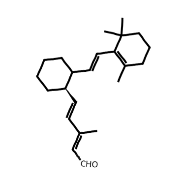 CC1=C(/C=C/C2CCCC[C@@H]2/C=C/C(C)=C/C=O)C(C)(C)CCC1